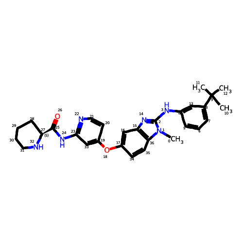 Cn1c(Nc2cccc(C(C)(C)C)c2)nc2cc(Oc3ccnc(NC(=O)[C@@H]4CCCCN4)c3)ccc21